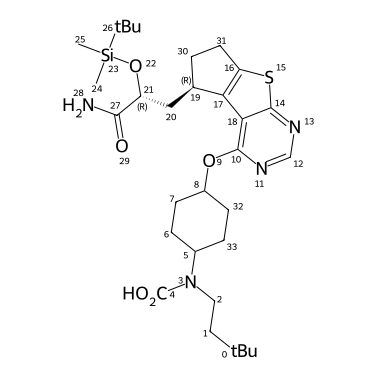 CC(C)(C)CCN(C(=O)O)C1CCC(Oc2ncnc3sc4c(c23)[C@@H](C[C@@H](O[Si](C)(C)C(C)(C)C)C(N)=O)CC4)CC1